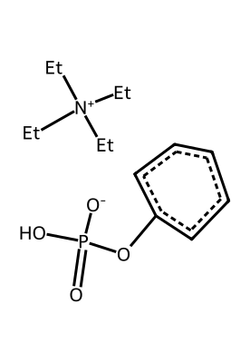 CC[N+](CC)(CC)CC.O=P([O-])(O)Oc1ccccc1